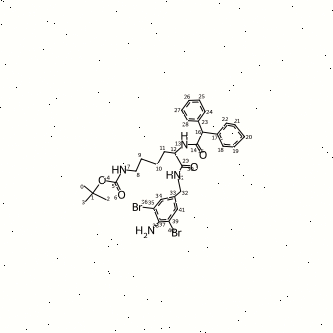 CC(C)(C)OC(=O)NCCCCC(NC(=O)C(c1ccccc1)c1ccccc1)C(=O)NCc1cc(Br)c(N)c(Br)c1